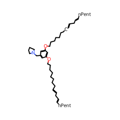 CCCCCC=CCC=CCCCCCCCCOc1cc(CN2CCCC2)cc(OCCCCCCCCC=CCC=CCCCCC)c1